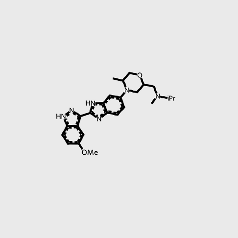 COc1ccc2[nH]nc(-c3nc4ccc(N5CC(CN(C)C(C)C)OCC5C)cc4[nH]3)c2c1